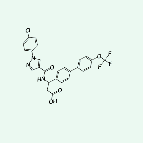 O=C(O)CC(NC(=O)c1cnn(-c2ccc(Cl)cc2)c1)c1ccc(-c2ccc(OC(F)(F)F)cc2)cc1